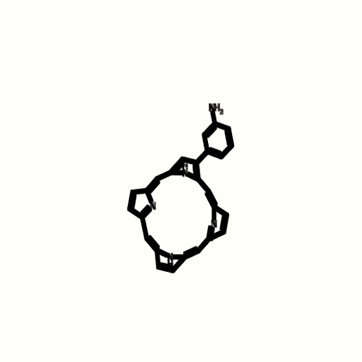 Nc1cccc(-c2cc3cc4nc(cc5ccc(cc6nc(cc2[nH]3)C=C6)[nH]5)C=C4)c1